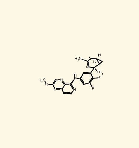 COc1cnc2c(Nc3cc(F)c(F)c([C@]4(C)N=C(N)S[C@H]5C[C@H]54)c3)nccc2n1